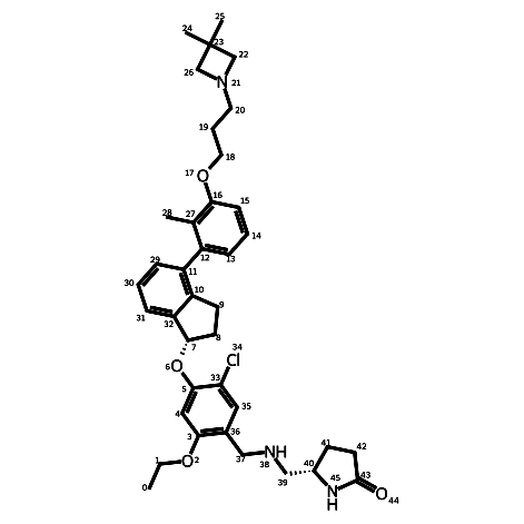 CCOc1cc(O[C@H]2CCc3c(-c4cccc(OCCCN5CC(C)(C)C5)c4C)cccc32)c(Cl)cc1CNC[C@@H]1CCC(=O)N1